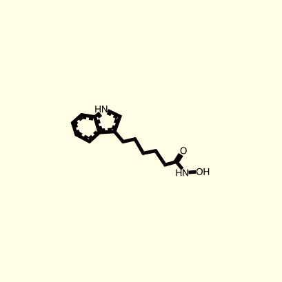 O=C(CCCCCc1c[nH]c2ccccc12)NO